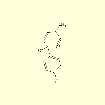 CN1C=[C+]C([O-])(c2ccc(F)cc2)C=C1